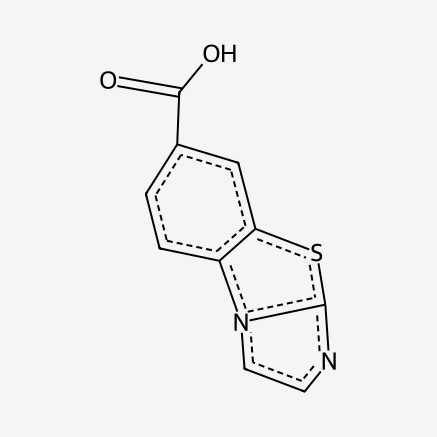 O=C(O)c1ccc2c(c1)sc1nccn12